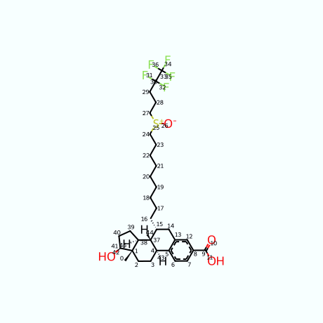 C[C@]12CC[C@@H]3c4ccc(C(=O)O)cc4C[C@@H](CCCCCCCCC[S+]([O-])CCCC(F)(F)C(F)(F)F)[C@H]3[C@@H]1CC[C@@H]2O